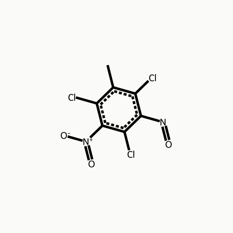 Cc1c(Cl)c(N=O)c(Cl)c([N+](=O)[O-])c1Cl